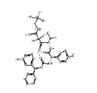 CC(C)[C@H](NC(=O)[C@@H](NC(=O)CC(c1ccccc1)c1cccc(Cl)c1)c1ccc(Cl)cc1)C(=O)C(F)(F)C(=O)NCC(F)(F)F